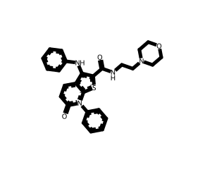 O=C(NCCN1CCOCC1)c1sc2c(ccc(=O)n2-c2ccccc2)c1Nc1ccccc1